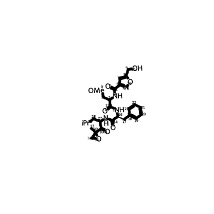 COCC(NC(=O)c1cc(CO)on1)C(=O)N[C@@H](Cc1ccccc1)C(=O)NC(CC(C)C)C(=O)C1(C)CO1